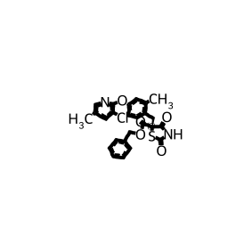 Cc1cnc(Oc2ccc(C[C@]3(C(=O)OCc4ccccc4)SC(=O)NC3=O)c(C)c2)c(Cl)c1